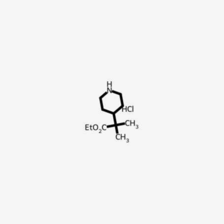 CCOC(=O)C(C)(C)C1CCNCC1.Cl